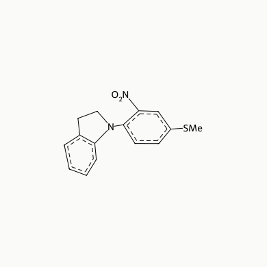 CSc1ccc(N2CCc3ccccc32)c([N+](=O)[O-])c1